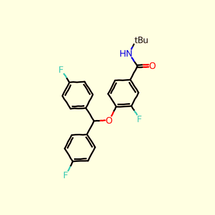 CC(C)(C)NC(=O)c1ccc(OC(c2ccc(F)cc2)c2ccc(F)cc2)c(F)c1